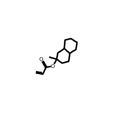 C=CC(=O)OC1(C)CCC2CCCCC2C1